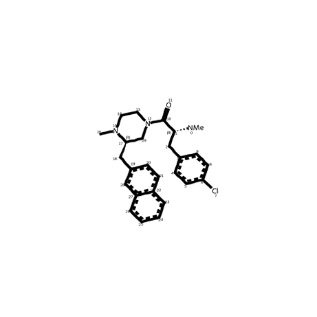 CN[C@H](Cc1ccc(Cl)cc1)C(=O)N1CCN(C)[C@H](Cc2ccc3ccccc3c2)C1